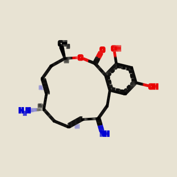 C[C@@H]1C/C=C/[C@@H](N)C/C=C/C(=N)Cc2cc(O)cc(O)c2C(=O)O1